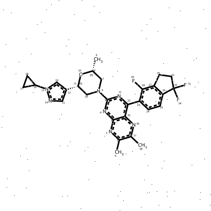 Cc1nc2nc(N3C[C@@H](C)O[C@@H](c4cnn(C5CC5)c4)C3)nc(-c3ccc4c(c3F)CCC4(F)F)c2nc1C